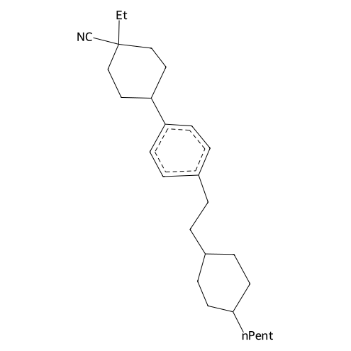 CCCCCC1CCC(CCc2ccc(C3CCC(C#N)(CC)CC3)cc2)CC1